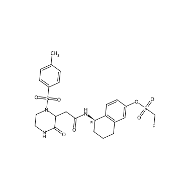 Cc1ccc(S(=O)(=O)N2CCNC(=O)C2CC(=O)N[C@@H]2CCCc3cc(OS(=O)(=O)CF)ccc32)cc1